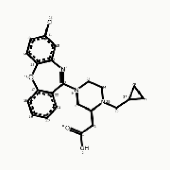 O=C(O)CC1CN(C2=Nc3cc(Cl)ccc3Oc3ccccc32)CCN1CC1CC1